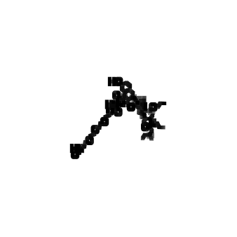 CCCO[C@H](CC(C(C)C)N(CCC)C(=O)C[C@@H](C)CC)c1nc(C(=O)N[C@H]2Cc3ccc(O)cc3[C@H](C(=O)NNC(=O)OCCOCCOCCOCCNC=O)C2)cs1